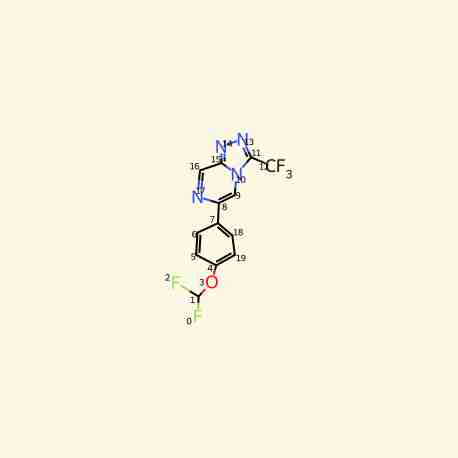 FC(F)Oc1ccc(-c2cn3c(C(F)(F)F)nnc3cn2)cc1